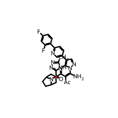 CC(=O)c1c(C2CC3CCC(C2)N3C(=O)c2nnc(C)[nH]2)nc2c(-c3ccc(-c4ccc(F)cc4F)nc3)cnn2c1N